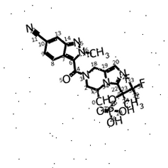 C[C@H]1CN(C(=O)c2c3ccc(C#N)cc3nn2C)Cc2cnc([C@@](C)(OP(=O)(O)O)C(F)(F)F)n21